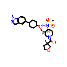 Cn1ncc2cc(C3CCC(OC[C@@H]4CN(C(=O)[C@@]5(C)CCOC5)CC[C@@H]4NS(C)(=O)=O)CC3)ccc21